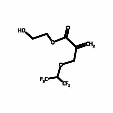 C=C(COC(C(F)(F)F)C(F)(F)F)C(=O)OCCO